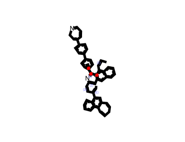 C#CCc1c(/C=C(/C=C\C(=C/C)c2cc3c(c4ccccc24)C=CCC=C3)\N=C(/OC)c2ccc(-c3ccc(C4=CCN=CC=C4)cc3)cc2)cc2ccccc2c1/C=C\C